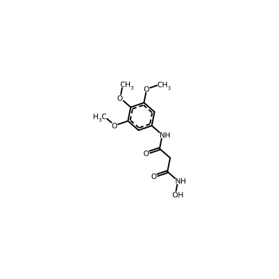 COc1cc(NC(=O)CC(=O)NO)cc(OC)c1OC